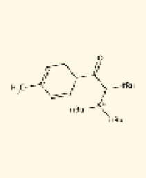 CCCC[S+](CCCC)C(C(=O)C1C=CC(C)=CC1)C(C)(C)C